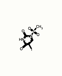 CS(=O)(=O)n1cc(I)c(=O)[nH]c1=O